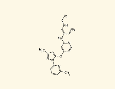 Cc1cccc(-n2nc(C)cc2Oc2ccnc(N/C(C=N)=C/NCC(C)C)c2)n1